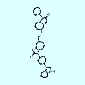 O=c1oc2cc(SSc3cccc4c(-c5ccc(-c6c[nH]c7ccccc67)cc5)c(=O)oc-4c3)cccc-2c1-c1ccccc1